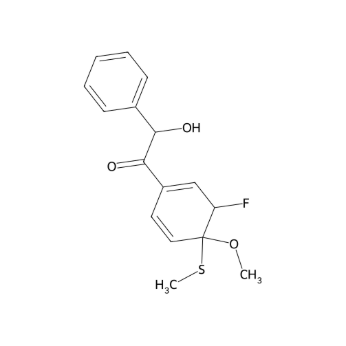 COC1(SC)C=CC(C(=O)C(O)c2ccccc2)=CC1F